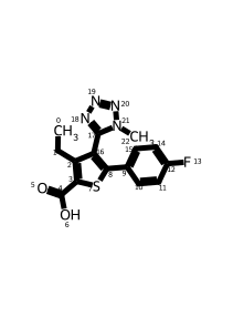 CCc1c(C(=O)O)sc(-c2ccc(F)cc2)c1-c1nnnn1C